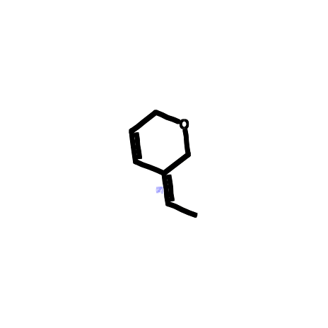 C/C=C1/C=CCOC1